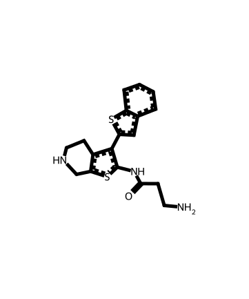 NCCC(=O)Nc1sc2c(c1-c1cc3ccccc3s1)CCNC2